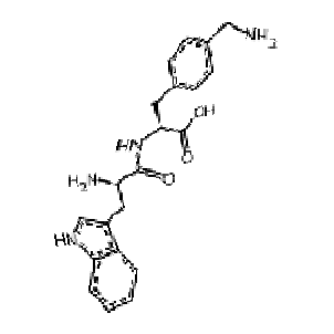 NCc1ccc(C[C@H](NC(=O)[C@H](N)Cc2c[nH]c3ccccc23)C(=O)O)cc1